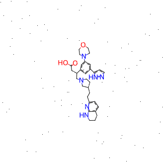 O=C(O)CC(CN1CCC(CCc2ccc3c(n2)NCCC3)C1)c1cc(-c2ccn[nH]2)cc(N2CCOCC2)c1